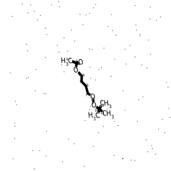 CC(=O)OCCCCOOC(C)(C)C